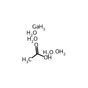 CC(=O)O.O.O.O.O.[GaH3]